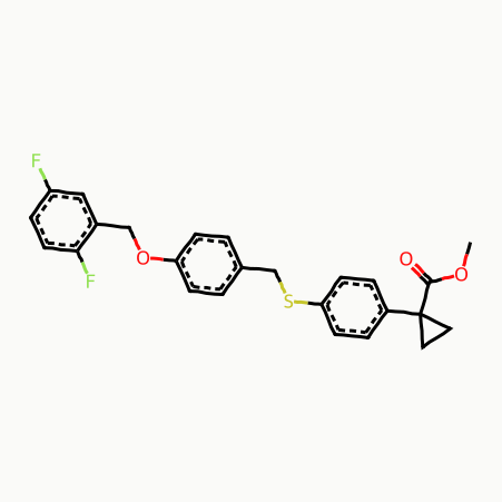 COC(=O)C1(c2ccc(SCc3ccc(OCc4cc(F)ccc4F)cc3)cc2)CC1